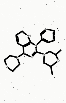 CC1CN(C2=NC(N3CCOCC3)C3=C(NCC=C3)N2c2cccnc2)CC(C)O1